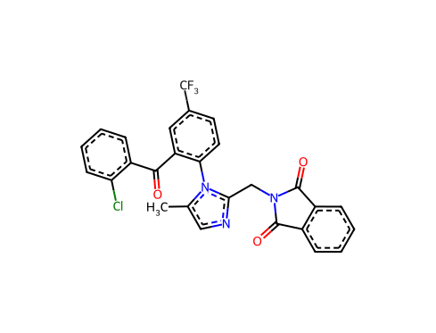 Cc1cnc(CN2C(=O)c3ccccc3C2=O)n1-c1ccc(C(F)(F)F)cc1C(=O)c1ccccc1Cl